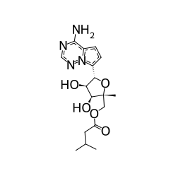 CC(C)CC(=O)OC[C@@]1(C)O[C@@H](c2ccc3c(N)ncnn23)[C@H](O)[C@@H]1O